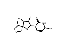 C[C@H](F)[C@]1(CO)O[C@@H](N2C=CC(N)NC2=O)[C@H](F)[C@@H]1O